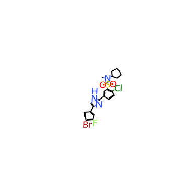 CN(C1CCCCC1)S(=O)(=O)c1cc(-c2nc(-c3ccc(Br)c(F)c3)c[nH]2)ccc1Cl